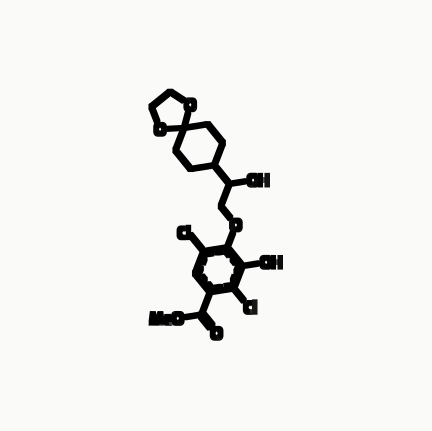 COC(=O)c1cc(Cl)c(OCC(O)C2CCC3(CC2)OCCO3)c(O)c1Cl